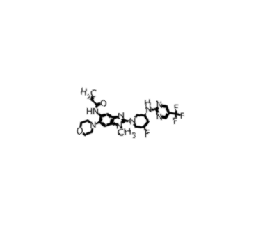 C=CC(=O)Nc1cc2nc(N3C[C@H](F)C[C@@H](Nc4ncc(C(F)(F)F)cn4)C3)n(C)c2cc1N1CCOCC1